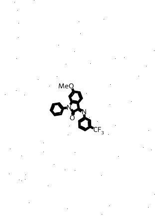 COc1ccc2c(c1)N(c1ccccc1)C(=O)C2=Nc1cccc(C(F)(F)F)c1